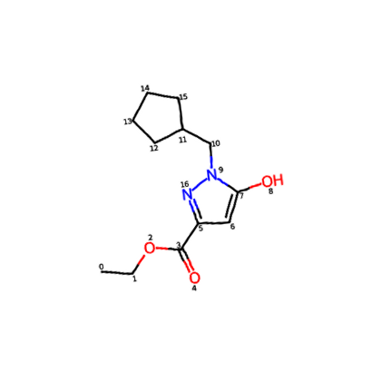 CCOC(=O)c1cc(O)n(CC2CCCC2)n1